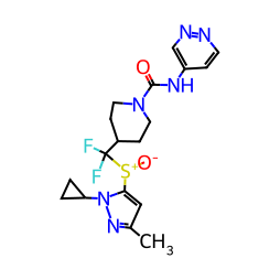 Cc1cc([S+]([O-])C(F)(F)C2CCN(C(=O)Nc3ccnnc3)CC2)n(C2CC2)n1